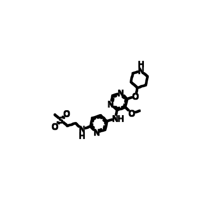 COc1c(Nc2ccc(NCCS(C)(=O)=O)nc2)ncnc1OC1CCNCC1